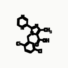 Cc1nc(-c2cnccn2)n(Cc2cc(Cl)ccc2Cl)c1C(=O)O